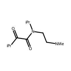 CNCCN(C(=O)C(=O)C(C)C)C(C)C